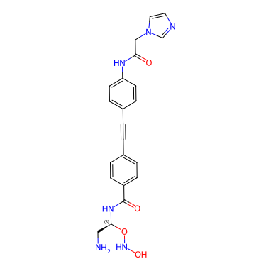 NC[C@@H](NC(=O)c1ccc(C#Cc2ccc(NC(=O)Cn3ccnc3)cc2)cc1)ONO